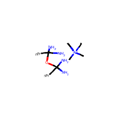 CCCC(N)(N)OC(N)(N)CCC.C[N+](C)(C)C